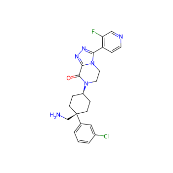 NC[C@]1(c2cccc(Cl)c2)CC[C@H](N2CCn3c(nnc3-c3ccncc3F)C2=O)CC1